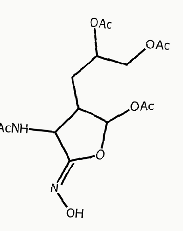 CC(=O)NC1/C(=N/O)OC(OC(C)=O)C1CC(COC(C)=O)OC(C)=O